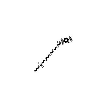 CCCCOC(=O)NCCOCCCOCCOCCOCCNS(=O)(=O)c1ccc([N+](=O)[O-])c(C)c1